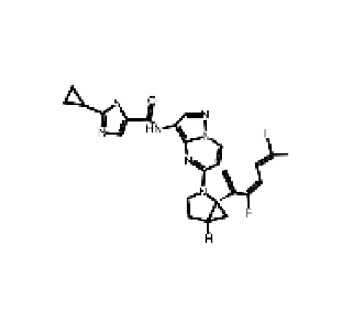 C=C(/C(F)=C\C=C(/C)F)[C@@]12C[C@@H]1CCN2c1ccn2ncc(NC(=O)c3cnc(C4CC4)s3)c2n1